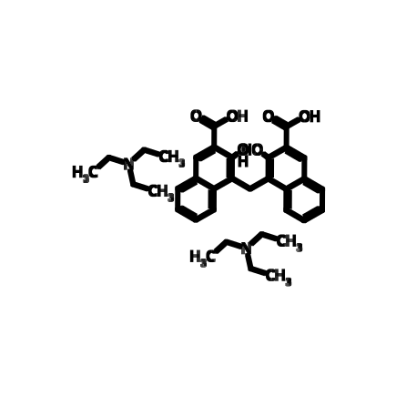 CCN(CC)CC.CCN(CC)CC.O=C(O)c1cc2ccccc2c(Cc2c(O)c(C(=O)O)cc3ccccc23)c1O